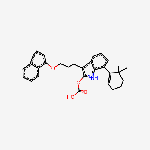 CC1(C)CCCC=C1c1cccc2c(CCCOc3cccc4ccccc34)c(OC(=O)O)[nH]c12